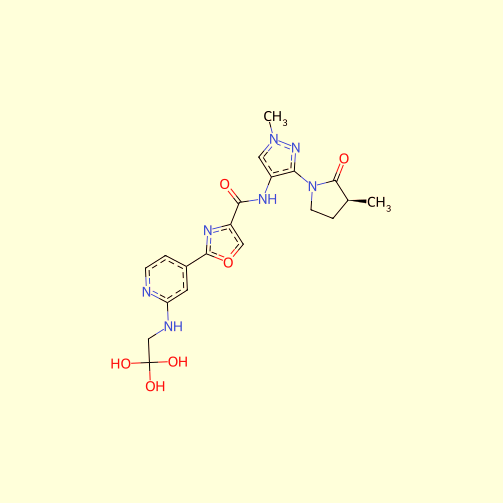 C[C@H]1CCN(c2nn(C)cc2NC(=O)c2coc(-c3ccnc(NCC(O)(O)O)c3)n2)C1=O